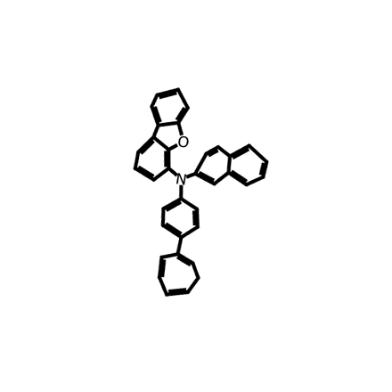 C1=CCC=C(c2ccc(N(c3ccc4ccccc4c3)c3cccc4c3oc3ccccc34)cc2)C=C1